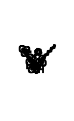 CCCCCCCCOC(=O)O[C@H]1C[C@@H]2CCC[C@]2(C(=O)[C@H](C)N[C@@H](CCc2ccccc2)C(=O)OCc2oc(=O)oc2C)N1